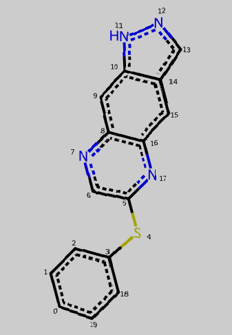 c1ccc(Sc2cnc3cc4[nH]ncc4cc3n2)cc1